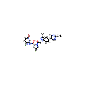 CC(=O)c1nn(CC(=O)N2C[C@H](F)C[C@H]2C(=O)Nc2nc(Br)ccc2Cl)c2ccc(-c3cnc(C)nc3)cc12